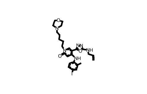 C=CCNc1nnc(-c2cn(CCCCCN3CCOCC3)c(=O)cc2Nc2ccc(I)cc2C)o1